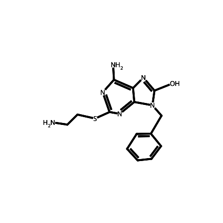 NCCSc1nc(N)c2nc(O)n(Cc3ccccc3)c2n1